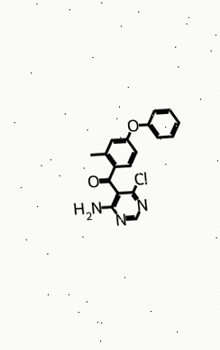 Cc1cc(Oc2ccccc2)ccc1C(=O)c1c(N)ncnc1Cl